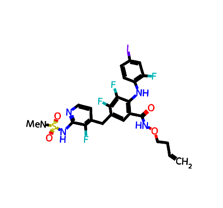 C=CCCONC(=O)c1cc(Cc2ccnc(NS(=O)(=O)NC)c2F)c(F)c(F)c1Nc1ccc(I)cc1F